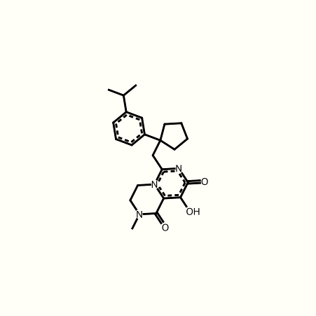 CC(C)c1cccc(C2(Cc3nc(=O)c(O)c4n3CCN(C)C4=O)CCCC2)c1